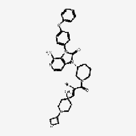 CC1(/C=C(\C#N)C(=O)N2CCC[C@@H](n3c(=O)n(-c4ccc(Oc5ccccc5)cc4)c4c(N)nccc43)C2)CCN(C2COC2)CC1